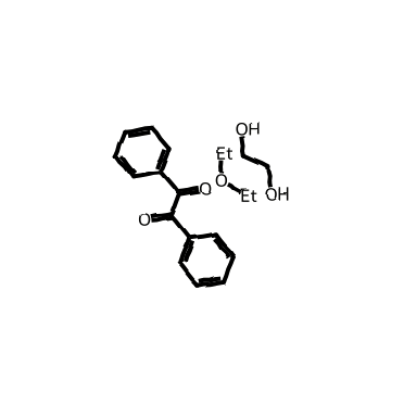 CCOCC.O=C(C(=O)c1ccccc1)c1ccccc1.OCCO